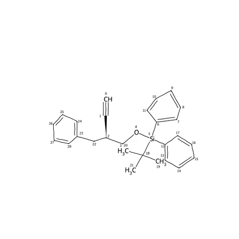 C#C[C@@H](CO[Si](c1ccccc1)(c1ccccc1)C(C)(C)C)Cc1ccccc1